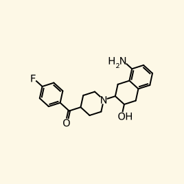 Nc1cccc2c1CC(N1CCC(C(=O)c3ccc(F)cc3)CC1)C(O)C2